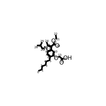 CCCCCCc1cc2c(cc1OCC(=O)O)c(C(=O)OCC)c(C)n2CC(C)C